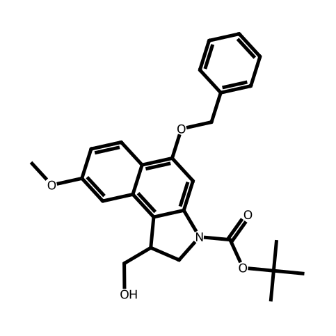 COc1ccc2c(OCc3ccccc3)cc3c(c2c1)C(CO)CN3C(=O)OC(C)(C)C